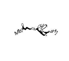 COC(=O)CCCON=C([C]=O)c1csc(N)n1